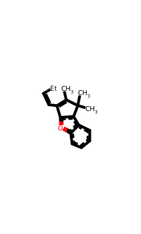 CC/C=C\C1=C(C)C(C)(C)c2c1oc1ccccc21